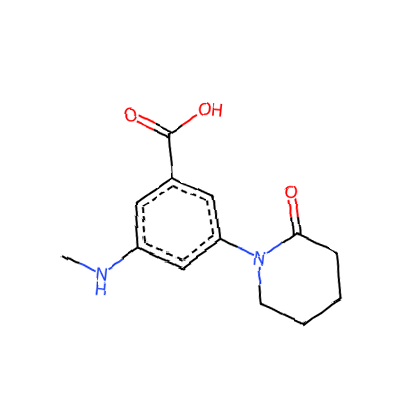 CNc1cc(C(=O)O)cc(N2CCCCC2=O)c1